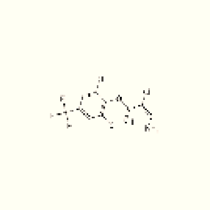 N=C(Oc1c(Cl)cc(C(F)(F)F)cc1Cl)/C(Cl)=C\N